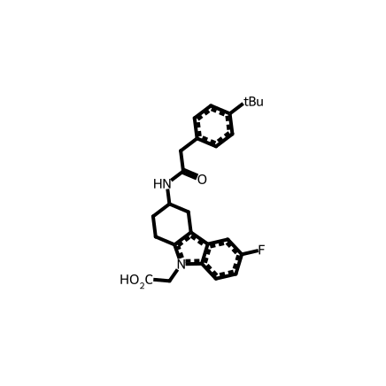 CC(C)(C)c1ccc(CC(=O)NC2CCc3c(c4cc(F)ccc4n3CC(=O)O)C2)cc1